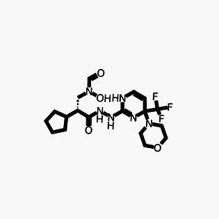 O=CN(O)C[C@H](C(=O)NNC1=NC(N2CCOCC2)(C(F)(F)F)C=CN1)C1CCCC1